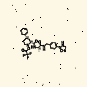 C[C@H](NC(=O)[C@H]1C[C@@H](c2ccccc2)CCN1OC(=O)C(F)(F)F)C(=O)NCc1ccc(N2NCSO2)cc1